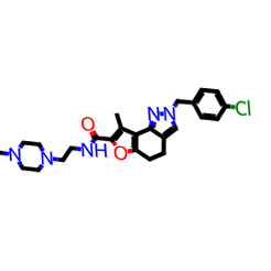 Cc1c(C(=O)NCCN2CCN(C)CC2)oc2c1-c1nn(Cc3ccc(Cl)cc3)cc1CC2